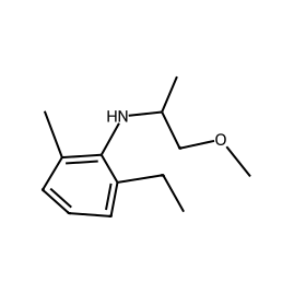 CCc1cccc(C)c1NC(C)COC